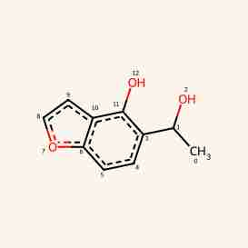 CC(O)c1ccc2occc2c1O